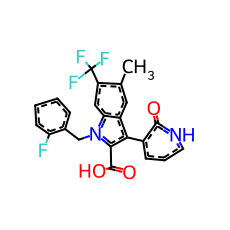 Cc1cc2c(-c3ccc[nH]c3=O)c(C(=O)O)n(Cc3ccccc3F)c2cc1C(F)(F)F